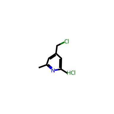 Cc1cc(CCl)cc(C)n1.Cl